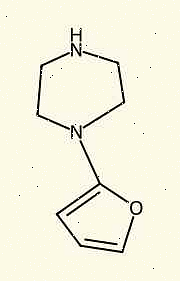 c1coc(N2CCNCC2)c1